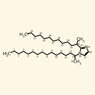 CCCCCCCCCCCCCCC(C)n1ccnc1C(C)CCCCCCCCCCC